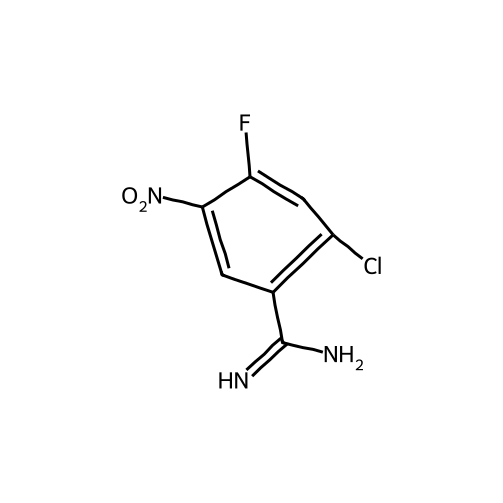 N=C(N)c1cc([N+](=O)[O-])c(F)cc1Cl